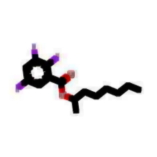 CCCCCCC(C)OC(=O)c1cc(I)cc(I)c1I